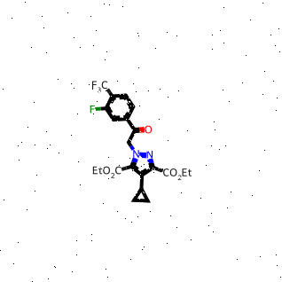 CCOC(=O)c1nn(CC(=O)c2ccc(C(F)(F)F)c(F)c2)c(C(=O)OCC)c1C1CC1